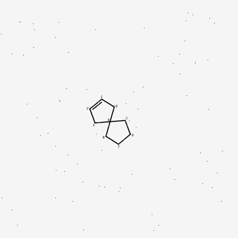 [CH]1C=CCC12CCCC2